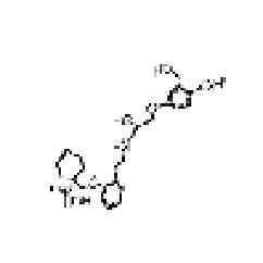 O=[P@@H](O)C1(COc2ccccc2CCNCC(O)COc2ccc(O)c(CO)c2)CCCCC1